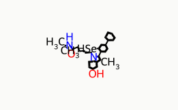 Cc1c(-c2ccc(-c3ccccc3)cc2[SeH])n(CCCCCC(=O)NC(C)C)c2ccc(O)cc12